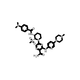 CN1CCN(c2ccc(Nc3nc(N4CCC[C@@H](NC(=O)c5ccc(N(C)C)cc5)[C@H]4S(C)(=O)=O)cnc3C(N)=O)nc2)CC1